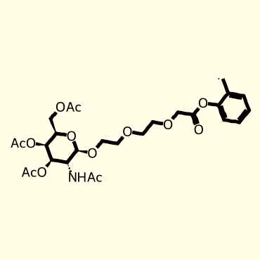 [CH2]c1ccccc1OC(=O)COCCOCCO[C@@H]1O[C@H](COC(C)=O)[C@H](OC(C)=O)[C@H](OC(C)=O)[C@H]1NC(C)=O